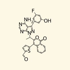 CC(c1oc(=O)c2ccccc2c1-c1ccc(C=O)s1)n1nc(-c2cc(O)cc(F)c2)c2c(N)ncnc21